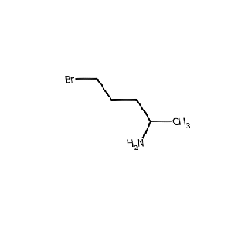 CC(N)CCCBr